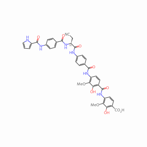 COc1c(NC(=O)c2ccc(NC(=O)c3ccc(NC(=O)[C@H](CC#N)NC(=O)c4ccc(NC(=O)c5ccc[nH]5)cc4)cc3)c(OC)c2O)ccc(C(=O)O)c1O